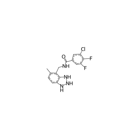 Cc1ccc2c(c1CNC(=O)c1cc(F)c(F)c(Cl)c1)NNN2